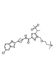 CC(c1cc(C(=O)NC23CC(c4nc5ccc(Cl)cc5s4)(C2)C3)nn1COCC[Si](C)(C)C)S(C)(=O)=O